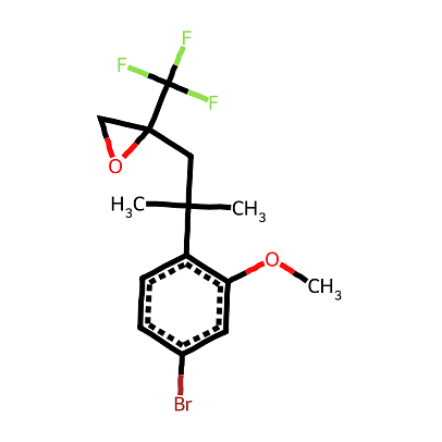 COc1cc(Br)ccc1C(C)(C)CC1(C(F)(F)F)CO1